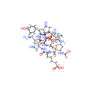 CC(=O)NC1CCCC1C(=O)N[C@@H](CCCCC(=O)O)C(=O)NC1CNCC1C(=O)N[C@@H](Cc1ccc(O)cc1)C(=O)NC1CCCC1C(=O)N[C@@H](CCCCN)C(=O)NC1CNCC1C(=O)N[C@@H](C)C(N)=O